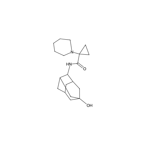 O=C(NC1C2CC3CC1CC(O)(C3)C2)C1(N2CCCCC2)CC1